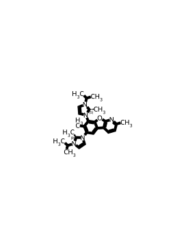 Cc1ccc2c(n1)oc1c(N3C=CN(C(C)C)[C@@H]3C)c(C)c(N3C=CN(C(C)C)[C@H]3C)cc12